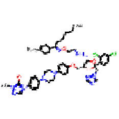 CCC(C)n1ncn(-c2ccc(N3CCN(c4ccc(OC[C@H]5CO[C@](Cn6cncn6)(c6ccc(Cl)cc6Cl)O5)cc4)CC3)cc2)c1=O.COCCCC/C(=N\OCCN)c1ccc(C(F)(F)F)cc1